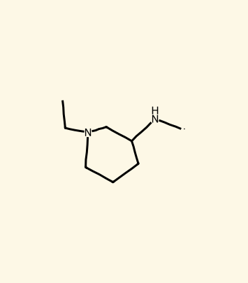 [CH2]NC1CCCN(CC)C1